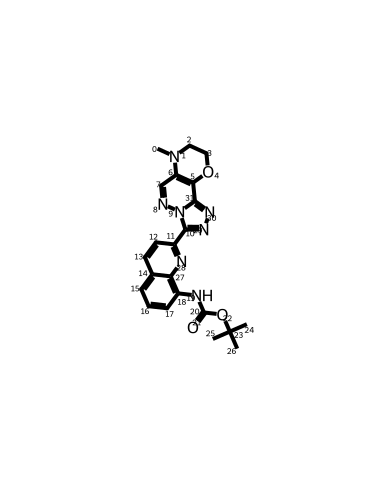 CN1CCOc2c1cnn1c(-c3ccc4cccc(NC(=O)OC(C)(C)C)c4n3)nnc21